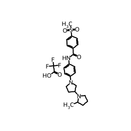 CC1CCCN1C1CCN(c2ccc(NC(=O)c3ccc(S(C)(=O)=O)cc3)cc2)C1.O=C(O)C(F)(F)F